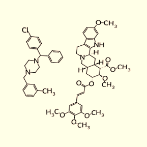 COC(=O)[C@H]1[C@H]2C[C@@H]3c4[nH]c5cc(OC)ccc5c4CCN3C[C@H]2C[C@@H](OC(=O)/C=C/c2cc(OC)c(OC)c(OC)c2)[C@@H]1OC.Cc1cccc(CN2CCN(C(c3ccccc3)c3ccc(Cl)cc3)CC2)c1